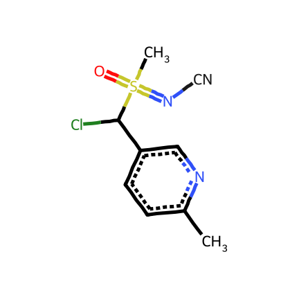 Cc1ccc(C(Cl)S(C)(=O)=NC#N)cn1